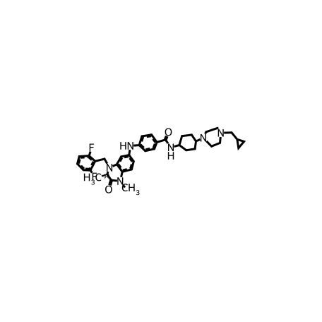 C[C@@H]1C(=O)N(C)c2ccc(Nc3ccc(C(=O)NC4CCC(N5CCN(CC6CC6)CC5)CC4)cc3)cc2N1Cc1c(F)cccc1F